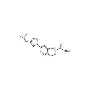 COC(=O)c1ccc2ccc(-c3nc(C=C(C)C)cs3)cc2c1